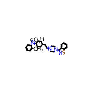 Cc1ccccc1N(C(=O)O)C1CCC(CCN2CCN(c3nsc4ccccc34)CC2)CC1